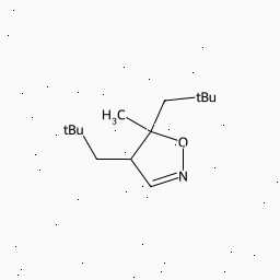 CC(C)(C)CC1C=NOC1(C)CC(C)(C)C